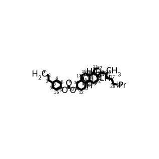 C=CCc1ccc(OC(=O)O[C@H]2CC[C@@]3(C)C(=CC[C@H]4[C@@H]5CC[C@H]([C@H](C)CCCC(C)C)[C@@]5(C)CC[C@@H]43)C2)cc1